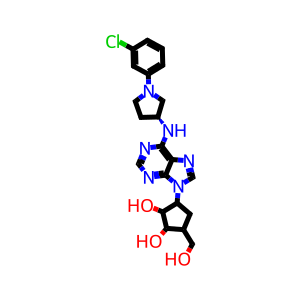 OCC1CC(n2cnc3c(N[C@H]4CCN(c5cccc(Cl)c5)C4)ncnc32)C(O)C1O